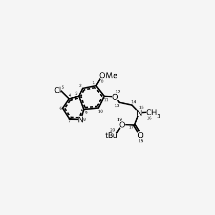 COc1cc2c(Cl)ccnc2cc1OCCN(C)C(=O)OC(C)(C)C